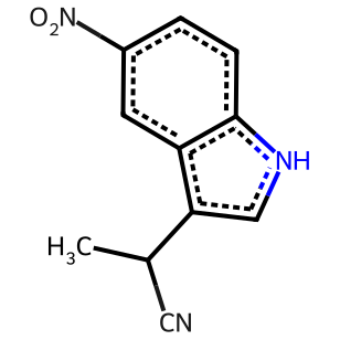 CC(C#N)c1c[nH]c2ccc([N+](=O)[O-])cc12